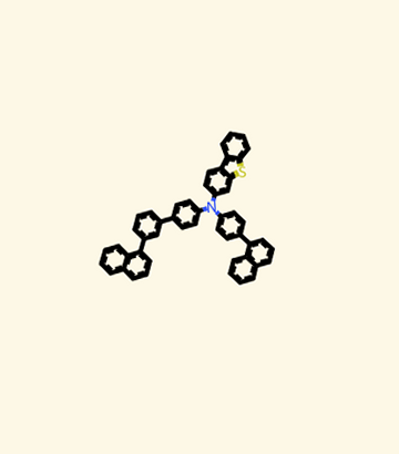 c1cc(-c2ccc(N(c3ccc(-c4cccc5ccccc45)cc3)c3ccc4c(c3)sc3ccccc34)cc2)cc(-c2cccc3ccccc23)c1